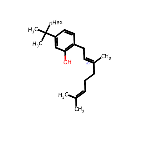 CCCCCCC(C)(C)c1ccc(C/C=C(\C)CCC=C(C)C)c(O)c1